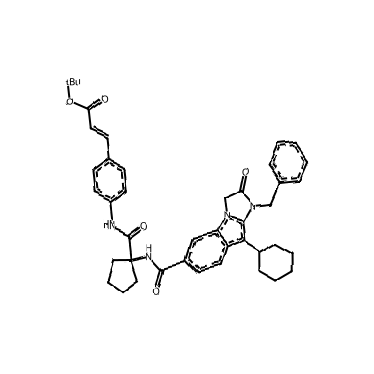 CC(C)(C)OC(=O)/C=C/c1ccc(NC(=O)C2(NC(=O)c3ccc4c(C5CCCCC5)c5n(c4c3)CC(=O)N5Cc3ccccc3)CCCC2)cc1